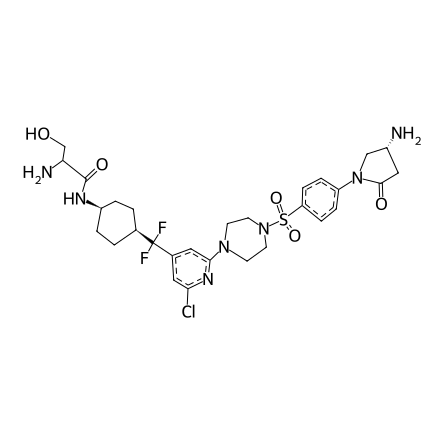 NC(CO)C(=O)N[C@H]1CC[C@@H](C(F)(F)c2cc(Cl)nc(N3CCN(S(=O)(=O)c4ccc(N5C[C@H](N)CC5=O)cc4)CC3)c2)CC1